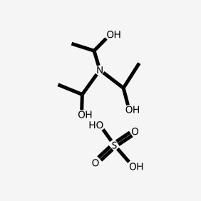 CC(O)N(C(C)O)C(C)O.O=S(=O)(O)O